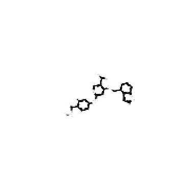 Cc1cc(Nc2cc(NCc3cccc4[nH]ccc34)c(C(N)=O)cn2)ccc1C(=O)N(C)C